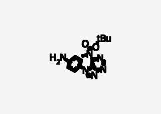 CN(C(=O)OC(C)(C)C)c1ncnc2ncn(-c3ccc(N)cc3)c12